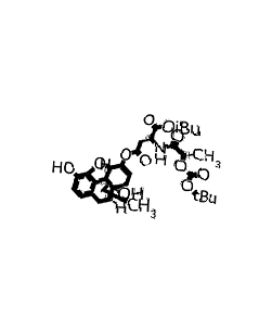 CC(C)COC(=O)[C@H](CC(=O)OC1=CC[C@@]2(O)[C@H]3Cc4ccc(O)c5c4[C@@]2(CCC3C)[C@H]1O5)NC(=O)[C@H](C)OC(=O)OC(C)(C)C